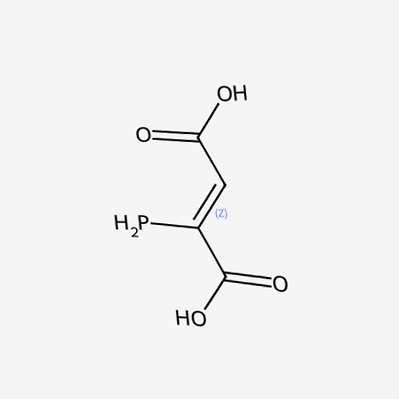 O=C(O)/C=C(\P)C(=O)O